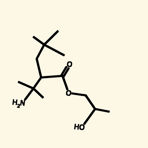 CC(O)COC(=O)C(CC(C)(C)C)C(C)(C)N